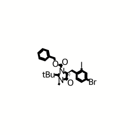 CN1C(=O)[C@H](Cc2ccc(Br)cc2I)N(C(=O)OCc2ccccc2)C1C(C)(C)C